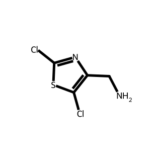 NCc1nc(Cl)sc1Cl